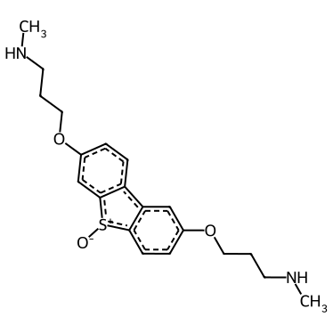 CNCCCOc1ccc2c(c1)c1ccc(OCCCNC)cc1[s+]2[O-]